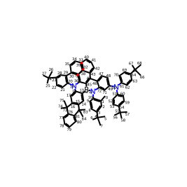 Cc1cc(C(C)(C)C)ccc1N1B2c3cc4c(cc3N(c3ccc(C(C)(C)C)cc3-c3ccccc3)c3cc5ccccc5c(c32)-c2ccc(N(c3ccc(C(C)(C)C)cc3)c3ccc(C(C)(C)C)cc3)cc21)C(C)(C)c1ccccc1C4(C)C